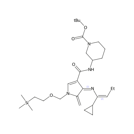 C=C1/C(=N\C(=C/CC)C2CC2)C(C(=O)NC2CCCN(C(=O)OC(C)(C)C)C2)=CN1COCC[Si](C)(C)C